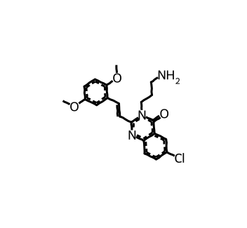 COc1ccc(OC)c(C=Cc2nc3ccc(Cl)cc3c(=O)n2CCCN)c1